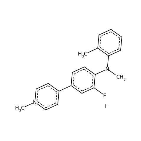 Cc1ccccc1N(C)c1ccc(-c2cc[n+](C)cc2)cc1F.[I-]